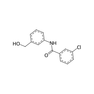 O=C(Nc1cccc(CO)c1)c1cccc(Cl)c1